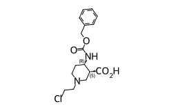 O=C(N[C@@H]1CCN(CCCl)C[C@@H]1C(=O)O)OCc1ccccc1